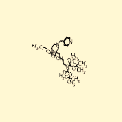 CCOP1(=O)CCN(Cc2ccncc2)CC1(CCCCN(C(=O)OC(C)(C)C)C(=O)OC(C)(C)C)C(=O)O